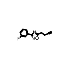 C#CCCc1nc(-c2cccc(F)c2)no1